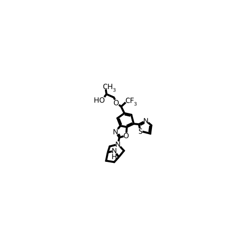 CC(O)COC(c1cc(-c2nccs2)c2oc(N3CC4CCC(C3)N4)nc2c1)C(F)(F)F